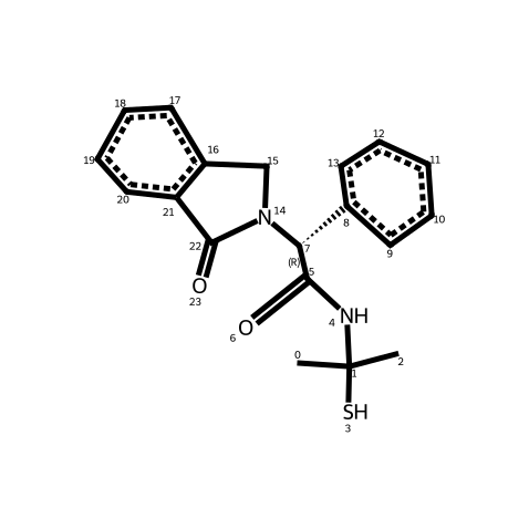 CC(C)(S)NC(=O)[C@@H](c1ccccc1)N1Cc2ccccc2C1=O